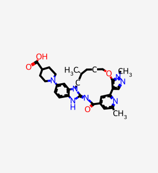 Cc1cc2cc(n1)-c1cnn(C)c1OCCC[C@@H](C)CN1/C(=N/C2=O)Nc2ccc(N3CCC(C(=O)O)CC3)cc21